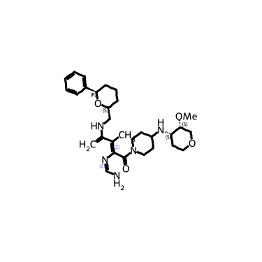 C=C(NC[C@@H]1CCC[C@H](c2ccccc2)O1)/C(C)=C(\N=C/N)C(=O)N1CCC(N[C@H]2CCOC[C@H]2OC)CC1